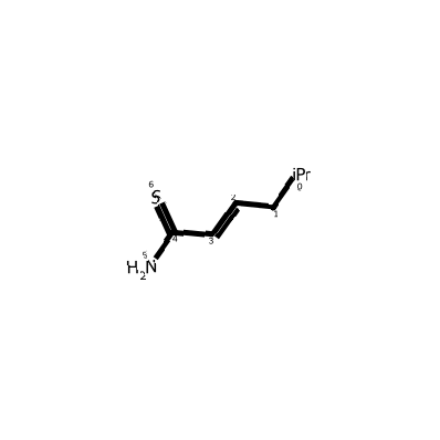 CC(C)CC=CC(N)=S